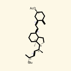 C=C1CC[C@H](OC(C)=O)C/C1=C/C=C1\CCC[C@@]2(C)C1CC[C@@H]2[C@@H](C)/C=C/[C@@H](C)C(C)(C)C